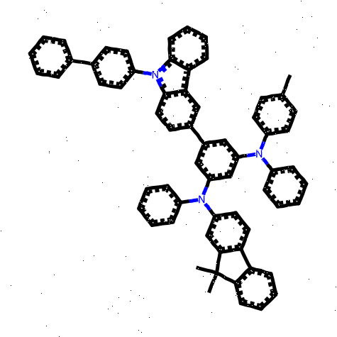 Cc1ccc(N(c2ccccc2)c2cc(-c3ccc4c(c3)c3ccccc3n4-c3ccc(-c4ccccc4)cc3)cc(N(c3ccccc3)c3ccc4c(c3)C(C)(C)c3ccccc3-4)c2)cc1